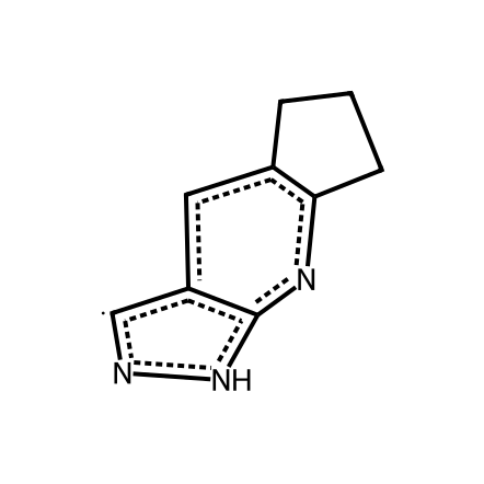 [c]1n[nH]c2nc3c(cc12)CCC3